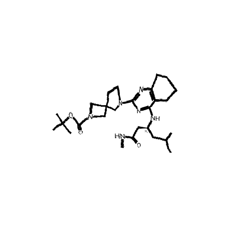 CNC(=O)C[C@H](CC(C)C)Nc1nc(N2CCC3(CN(C(=O)OC(C)(C)C)C3)C2)nc2c1CCCC2